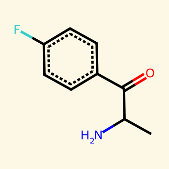 CC(N)C(=O)c1ccc(F)cc1